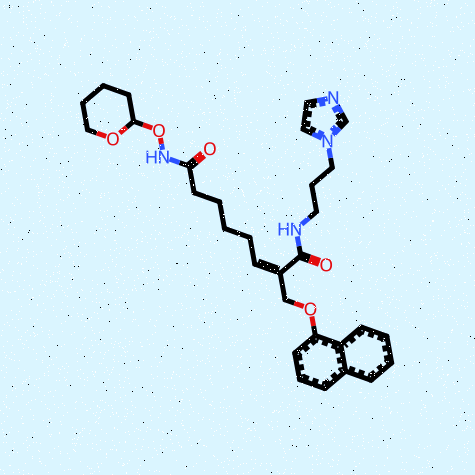 O=C(CCCCC=C(COc1cccc2ccccc12)C(=O)NCCCn1ccnc1)NOC1CCCCO1